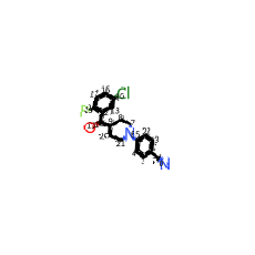 N#Cc1ccc(N2CCC(C(=O)c3cc(Cl)ccc3F)CC2)cc1